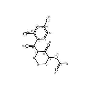 CC(=O)OC1CCCC(C(=O)c2ccc(Cl)cc2Cl)C1=O